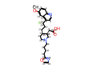 COc1ccc2nccc([C@@H](F)CC[C@@H]3CCN(CCCCc4ncco4)C[C@@H]3CC(=O)O)c2c1